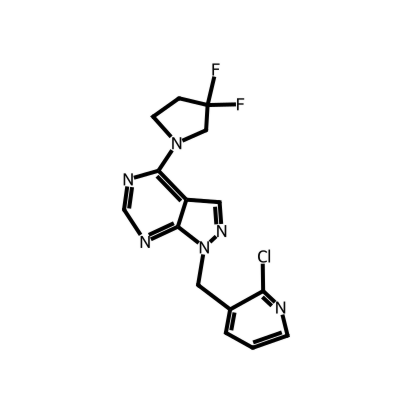 FC1(F)CCN(c2ncnc3c2cnn3Cc2cccnc2Cl)C1